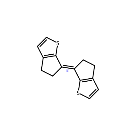 c1cc2c(s1)/C(=C1\CCc3ccsc31)CC2